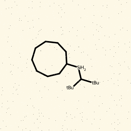 CC(C)(C)C([SiH2]C1CCCCCCCC1)C(C)(C)C